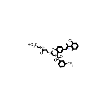 C/C(=C\c1ccc2c(c1)N(S(=O)(=O)c1cccc(C(F)(F)F)c1)C[C@H](CCC(=O)NCC(=O)O)O2)c1c(F)cccc1Cl